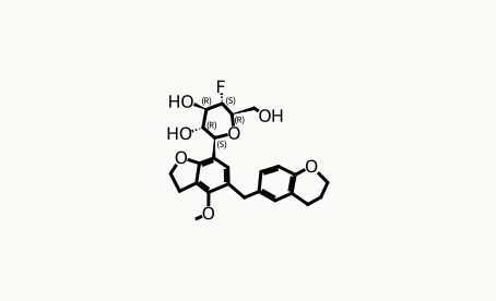 COc1c(Cc2ccc3c(c2)CCCO3)cc([C@@H]2O[C@H](CO)[C@@H](F)[C@H](O)[C@H]2O)c2c1CCO2